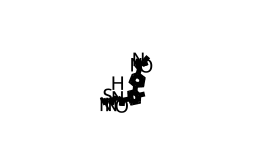 Cc1nnc(-c2ccc(-c3cc(C(=O)Nc4nncs4)ccc3C)cc2)o1